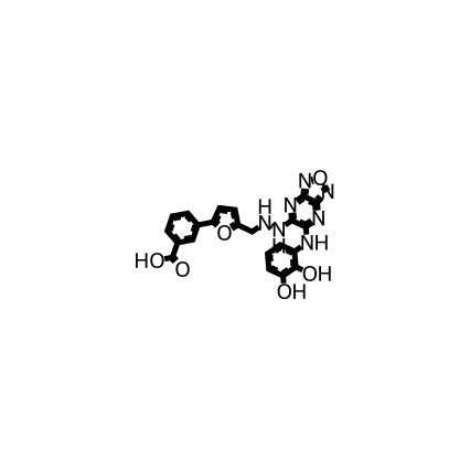 O=C(O)c1cccc(-c2ccc(CNNc3nc4nonc4nc3Nc3cccc(O)c3O)o2)c1